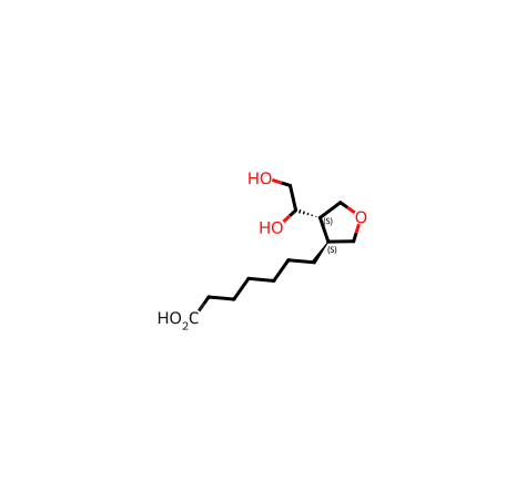 O=C(O)CCCCCC[C@@H]1COC[C@H]1C(O)CO